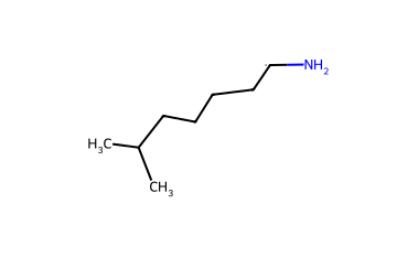 CC(C)CCCC[CH]N